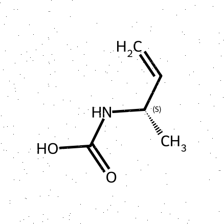 C=C[C@H](C)NC(=O)O